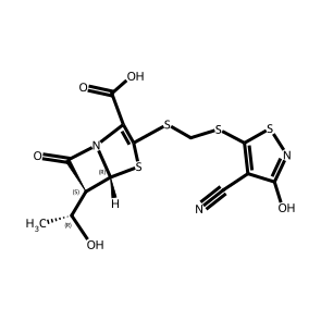 C[C@@H](O)[C@H]1C(=O)N2C(C(=O)O)=C(SCSc3snc(O)c3C#N)S[C@H]12